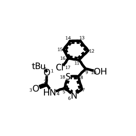 CC(C)(C)OC(=O)Nc1ncc(C(O)c2ccccc2Cl)s1